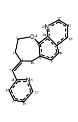 C(=C1\CCOc2c(ccc3cccnc23)C1)/c1ccccn1